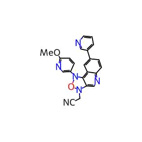 COc1ccc(N2ON(CC#N)c3cnc4ccc(-c5cccnc5)cc4c32)cn1